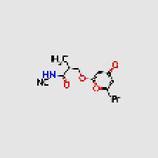 CC(COc1cc(=O)cc(C(C)C)o1)C(=O)NC#N